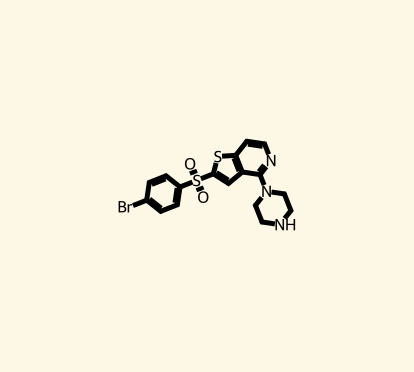 O=S(=O)(c1ccc(Br)cc1)c1cc2c(N3CCNCC3)nccc2s1